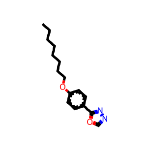 CCCCCCCCOc1ccc(-c2nnco2)cc1